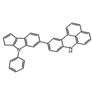 C1=Cc2c(n(-c3ccccc3)c3cc(-c4ccc5c(c4)-c4cccc6cccc(c46)N5)ccc23)C1